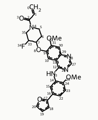 C=CC(=O)N1CCC(Oc2cc3c(Nc4cc(-c5ccco5)ccc4OC)ncnc3cc2OC)C(F)C1